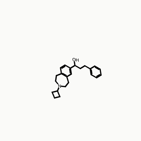 OC(CCc1ccccc1)c1ccc2c(c1)CCN(C1CCC1)CC2